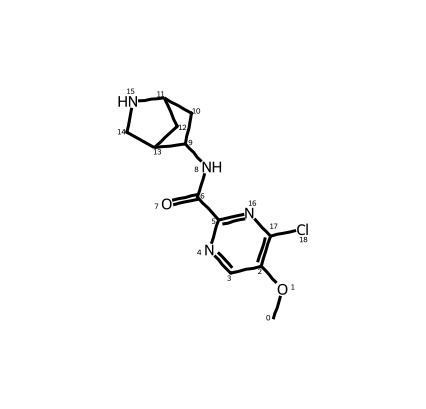 COc1cnc(C(=O)NC2CC3CC2CN3)nc1Cl